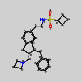 O=S(=O)(NCCc1ccc2c(c1)C(Cc1ccccc1)C(CN1CCC1)C2)C1CCC1